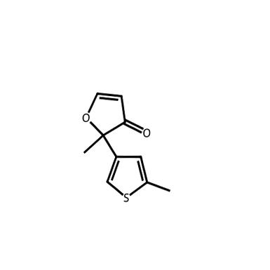 Cc1cc(C2(C)OC=CC2=O)cs1